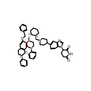 O=C1CCC(n2cnc3cc(C4CCN(C[C@@H]5CCCC[C@H]5CN5CCN(c6ccccc6[C@H]6c7ccc(OCc8ccccc8)cc7CC[C@@H]6c6ccccc6)CC5)CC4)ccc32)C(=O)N1